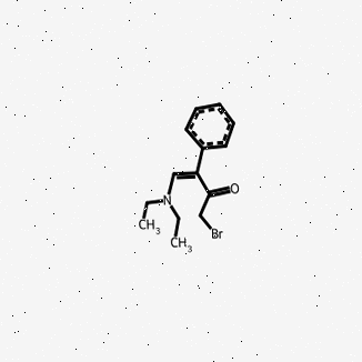 CCN(C=C(C(=O)CBr)c1ccccc1)CC